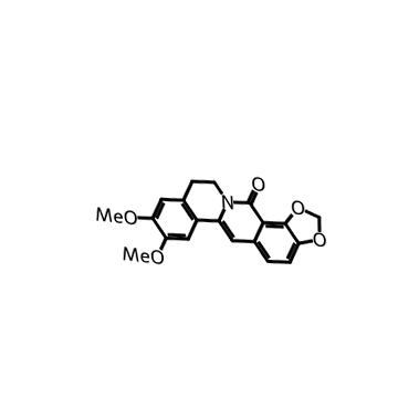 COc1cc2c(cc1OC)-c1cc3ccc4c(c3c(=O)n1CC2)OCO4